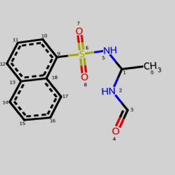 CC(NC=O)NS(=O)(=O)c1cccc2ccccc12